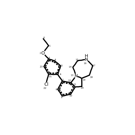 CCOc1ccc(-c2cccc3c2N2CCNCCC2C3)c(Cl)c1